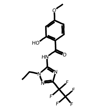 CCn1nc(C(F)(F)C(F)(F)F)nc1NC(=O)c1ccc(OC)cc1O